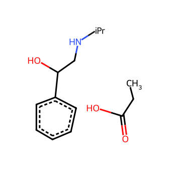 CC(C)NCC(O)c1ccccc1.CCC(=O)O